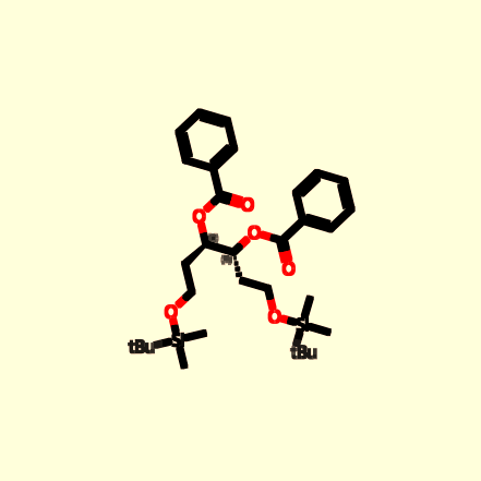 CC(C)(C)[Si](C)(C)OCC[C@@H](OC(=O)c1ccccc1)[C@@H](CCO[Si](C)(C)C(C)(C)C)OC(=O)c1ccccc1